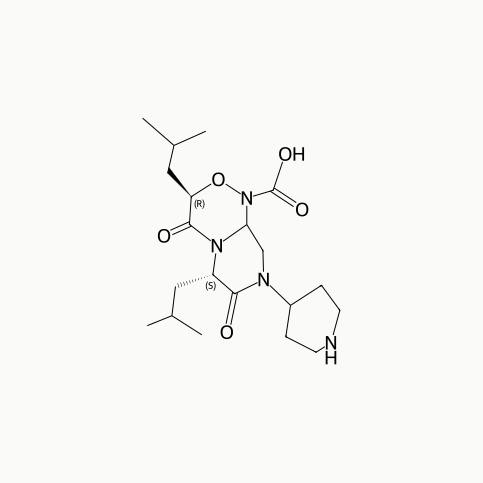 CC(C)C[C@H]1ON(C(=O)O)C2CN(C3CCNCC3)C(=O)[C@H](CC(C)C)N2C1=O